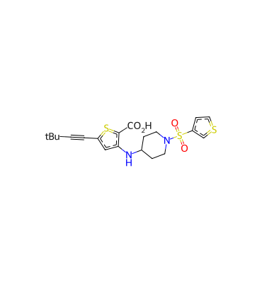 CC(C)(C)C#Cc1cc(NC2CCN(S(=O)(=O)c3ccsc3)CC2)c(C(=O)O)s1